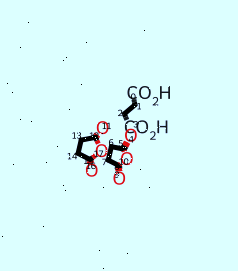 O=C(O)CCC(=O)O.O=C1CCC(=O)O1.O=C1CCC(=O)O1